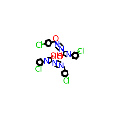 O=C(c1ccc(Cl)cc1)N1CCN(C2CN(c3cccc(Cl)c3)CC2O)CC1.OC1CN(c2cccc(Cl)c2)CC1N1CCN(Cc2ccc(Cl)cc2)CC1